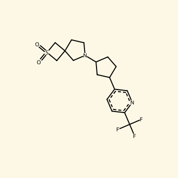 O=S1(=O)CC2(CCN(C3CCC(c4ccc(C(F)(F)F)nc4)C3)C2)C1